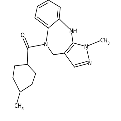 CC1CCC(C(=O)N2Cc3cnn(C)c3Nc3ccccc32)CC1